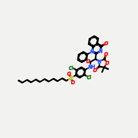 CCCCCCCCCCCCS(=O)(=O)c1cc(Cl)c(NC(=O)C(c2nc(=O)c3ccccc3n2-c2ccccc2)N2C(=O)OC(C)(C)C2=O)cc1Cl